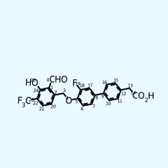 O=Cc1c(COc2ccc(-c3ccc(CC(=O)O)cc3)cc2F)ccc(C(F)(F)F)c1O